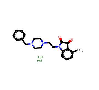 Cc1cccc2c1C(=O)C(=O)N2CCN1CCN(Cc2ccccc2)CC1.Cl.Cl